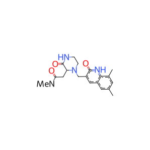 CNC(=O)CC1C(=O)NCCN1Cc1cc2cc(C)cc(C)c2[nH]c1=O